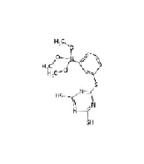 CO[Si](OC)(OC)c1cccc(Sc2nc(S)nc(S)n2)c1